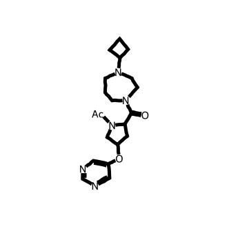 CC(=O)N1CC(Oc2cncnc2)CC1C(=O)N1CCCN(C2CCC2)CC1